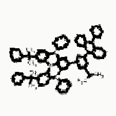 CC(C)c1cc(-c2cc3c4c(c2)N(c2ccccc2)c2ccc(C(C)(C)c5ccccc5)cc2B4c2cc(C(C)(C)c4ccccc4)ccc2N3c2ccccc2)cc(-c2c3ccccc3c(-c3ccccc3)c3ccccc23)c1